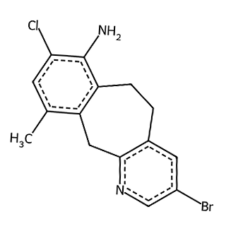 Cc1cc(Cl)c(N)c2c1Cc1ncc(Br)cc1CC2